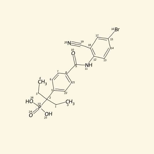 CCC(CC)(c1ccc(C(=O)Nc2ccc(Br)cc2C#N)cc1)P(=O)(O)O